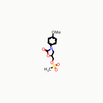 COc1ccc(N2CC(COS(C)(=O)=O)OC2=O)cc1